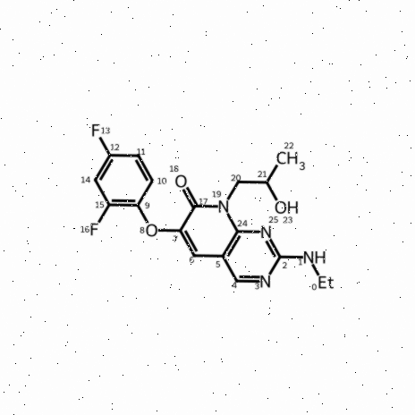 CCNc1ncc2cc(Oc3ccc(F)cc3F)c(=O)n(CC(C)O)c2n1